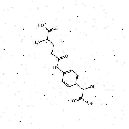 [NH]C(=O)C(O)c1ccc(NC(=O)OCC(N)C(=O)O)cc1